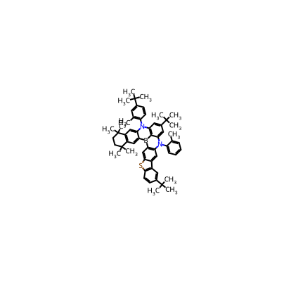 Cc1cc(C(C)(C)C)ccc1N1c2cc3c(cc2B2c4cc5sc6ccc(C(C)(C)C)cc6c5cc4N(c4ccccc4C)c4cc(C(C)(C)C)cc1c42)C(C)(C)CCC3(C)C